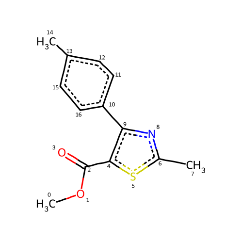 COC(=O)c1sc(C)nc1-c1ccc(C)cc1